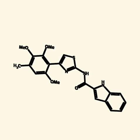 COc1cc(C)c(OC)c(OC)c1-c1csc(NC(=O)c2cc3ccccc3[nH]2)n1